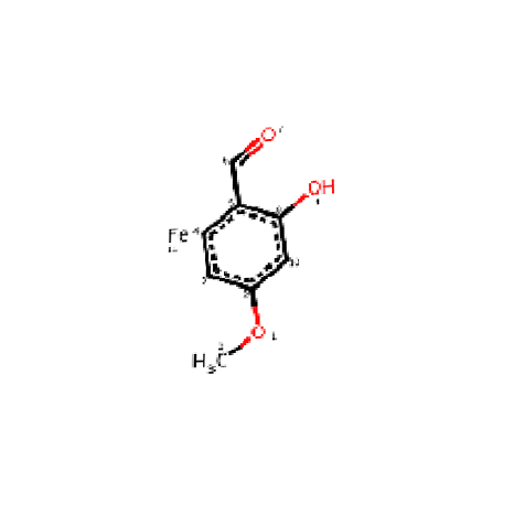 COc1ccc(C=O)c(O)c1.[Fe]